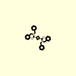 O=C([C@H]1C[C@H](C(=O)N(Cc2ccccc2)Cc2ccccc2)C1)N(Cc1ccccc1)Cc1ccccc1